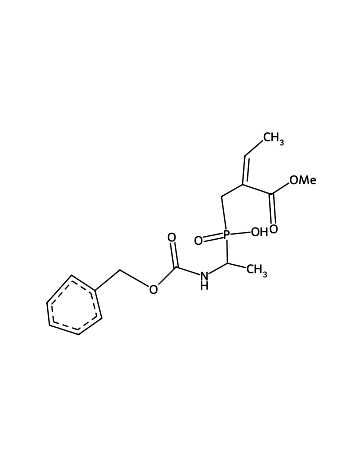 CC=C(CP(=O)(O)C(C)NC(=O)OCc1ccccc1)C(=O)OC